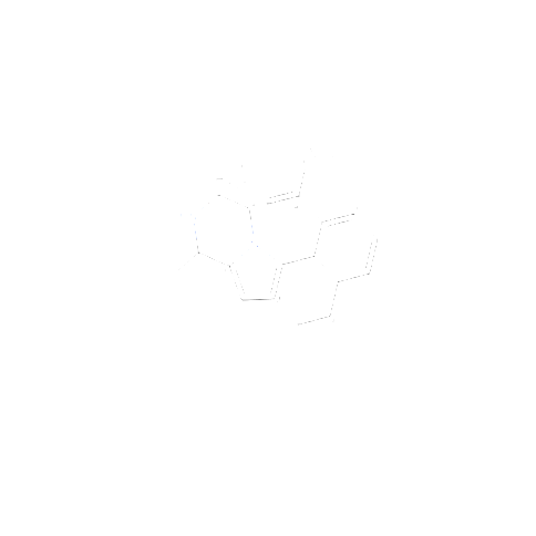 CC1NCCn2c1cc1c2-c2c(cccc2C(=CC(=O)O)C(=O)O)CC1